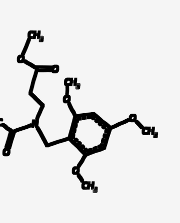 COC(=O)CCN(Cc1c(OC)cc(OC)cc1OC)C(C)=O